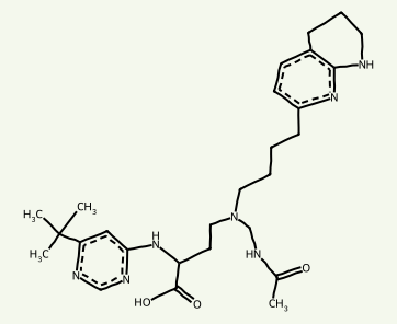 CC(=O)NCN(CCCCc1ccc2c(n1)NCCC2)CCC(Nc1cc(C(C)(C)C)ncn1)C(=O)O